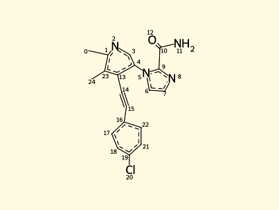 Cc1ncc(-n2ccnc2C(N)=O)c(C#Cc2ccc(Cl)cc2)c1C